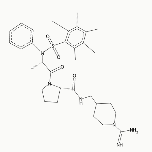 Cc1c(C)c(C)c(S(=O)(=O)N(c2ccccc2)[C@@H](C)C(=O)N2CCC[C@H]2C(=O)NCC2CCN(C(=N)N)CC2)c(C)c1C